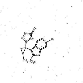 C[C@H]1C[C@]1(c1noc(=O)[nH]1)n1c(C(=O)O)cc2cc(Br)ccc21